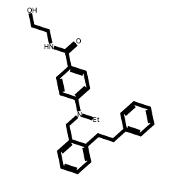 CCN(Cc1ccccc1CCc1ccccc1)c1ccc(C(=O)NCCO)cc1